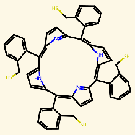 SCc1ccccc1-c1c2nc(c(-c3ccccc3CS)c3ccc([nH]3)c(-c3ccccc3CS)c3nc(c(-c4ccccc4CS)c4ccc1[nH]4)C=C3)C=C2